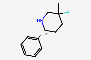 CC1(F)CC[C@H](c2ccccc2)NC1